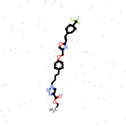 CCOC(=O)c1cn(CCCCc2ccc(OCc3coc(/C=C/c4ccc(C(F)(F)F)cc4)n3)cc2)nn1